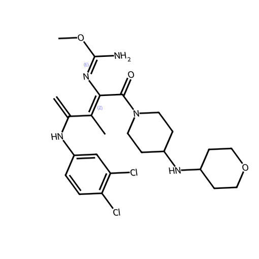 C=C(Nc1ccc(Cl)c(Cl)c1)/C(C)=C(\N=C(/N)OC)C(=O)N1CCC(NC2CCOCC2)CC1